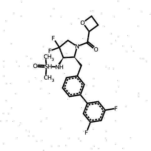 C[SH](C)(=O)N[C@@H]1[C@H](Cc2cccc(-c3cc(F)cc(F)c3)c2)N(C(=O)C2CCO2)CC1(F)F